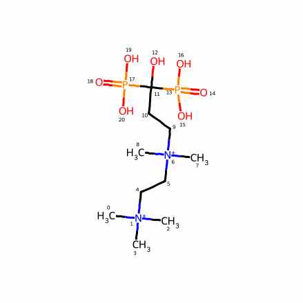 C[N+](C)(C)CC[N+](C)(C)CCC(O)(P(=O)(O)O)P(=O)(O)O